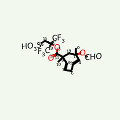 CC1(OC=O)/C=C/C/C=C/C(C)(C(=O)OC(CS(=O)(=O)O)(C(F)(F)F)C(F)(F)F)C1